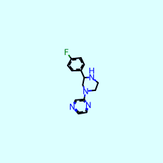 Fc1ccc(C2CN(c3cnccn3)CCN2)cc1